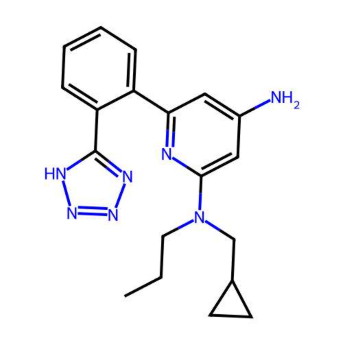 CCCN(CC1CC1)c1cc(N)cc(-c2ccccc2-c2nnn[nH]2)n1